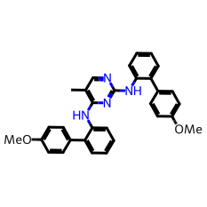 COc1ccc(-c2ccccc2Nc2ncc(C)c(Nc3ccccc3-c3ccc(OC)cc3)n2)cc1